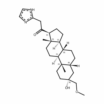 COC[C@@]1(O)CC[C@@]2(C)[C@H](CC[C@@H]3[C@@H]2CC[C@]2(C)[C@@H](C(=O)Cc4ncc[nH]4)CC[C@@H]32)C1